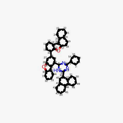 c1ccc(C2=NC(c3cc(-c4cccc5c4oc4ccc6ccccc6c45)cc4oc5ccccc5c34)NC(c3cc4ccccc4c4ccccc34)=N2)cc1